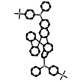 C[Si](C)(C)c1ccc(N(c2ccccc2)c2ccc3cc4c(cc3c2)C2(c3ccccc3-c3ccccc32)c2c-4ccc3cc(N(c4ccccc4)c4ccc([Si](C)(C)C)cc4)ccc23)cc1